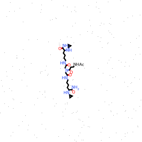 CC(=O)NCCC(=O)N(CC(=O)NCCCCC(NC1CC1)C(N)=O)CC(=O)NCCCCC(NC1CC1)C(N)=O